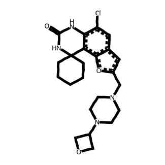 O=C1Nc2c(Cl)cc3cc(CN4CCN(C5COC5)CC4)oc3c2C2(CCCCC2)N1